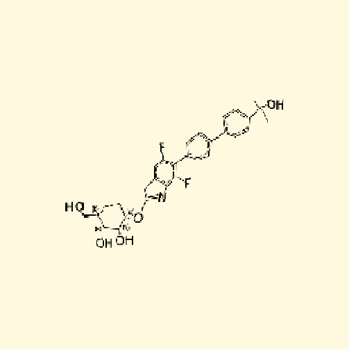 CC(C)(O)c1ccc(-c2ccc(-c3c(F)cc4c(c3F)N=C(O[C@H]3CC[C@H](CO)[C@@H](O)[C@@H]3O)C4)cc2)cc1